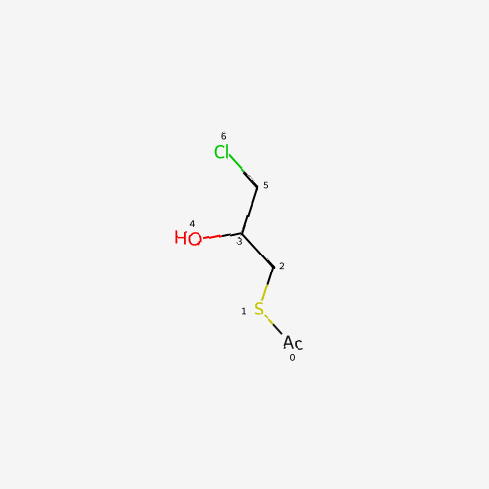 CC(=O)SCC(O)CCl